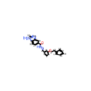 O=C(N/N=C/c1cccc(OCCc2ccccc2)c1)c1ccc2[nH]cnc2c1